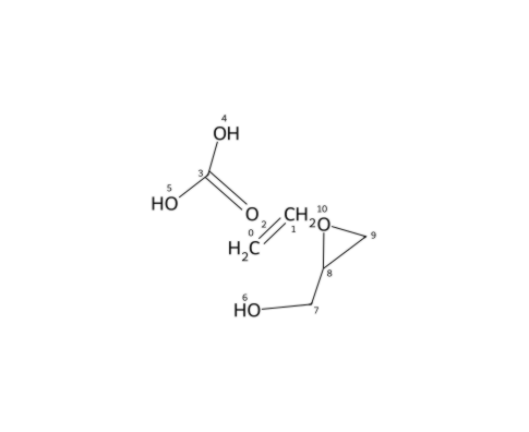 C=C.O=C(O)O.OCC1CO1